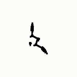 N#CO[Se]OC#N.[K]